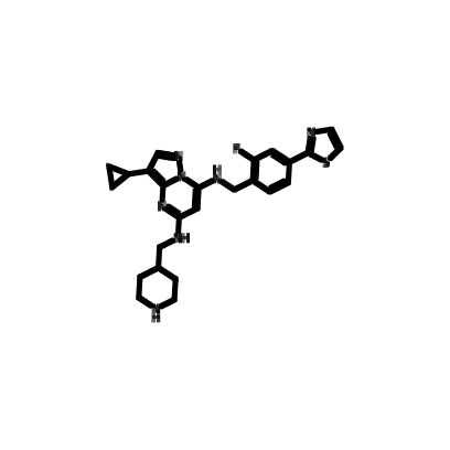 Fc1cc(-c2nccs2)ccc1CNc1cc(NCC2CCNCC2)nc2c(C3CC3)cnn12